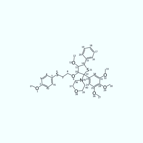 COc1ccc(SCCOC2C(OC)C(c3ccccc3)SC2(c2cc(OC)c(OC)c(OC)c2)N2CCOCC2)cc1